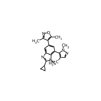 Cc1cnn(C)c1-c1cc(-c2c(C)noc2C)cc2nc(C3CC3)n(C)c12